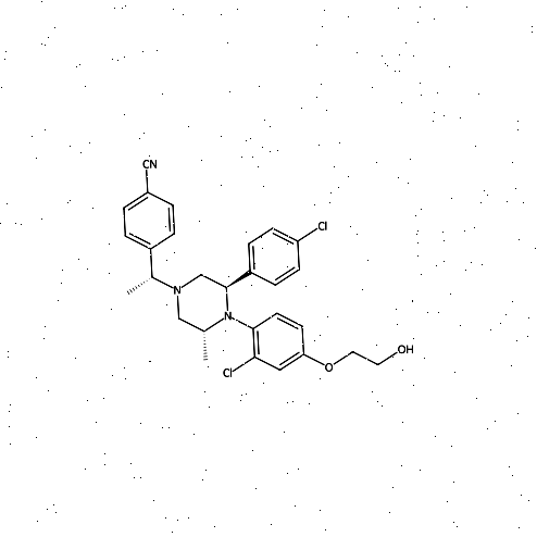 C[C@H](c1ccc(C#N)cc1)N1C[C@@H](C)N(c2ccc(OCCO)cc2Cl)[C@H](c2ccc(Cl)cc2)C1